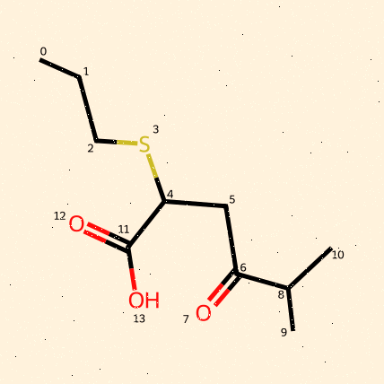 CCCSC(CC(=O)C(C)C)C(=O)O